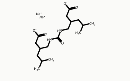 CC(C)CC(CNC(=O)NCC(CC(=O)[O-])CC(C)C)CC(=O)[O-].[Na+].[Na+]